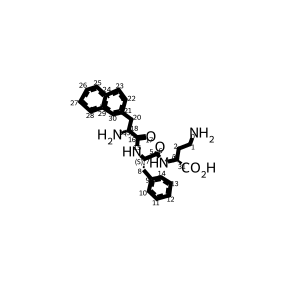 NCC[C@H](NC(=O)[C@H](Cc1ccccc1)NC(=O)[C@@H](N)Cc1ccc2ccccc2c1)C(=O)O